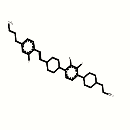 CCCCc1ccc(/C=C/C2CCC(c3ccc(C4CCC(CCC)CC4)c(F)c3F)CC2)c(F)c1